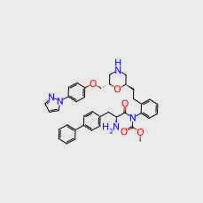 COC(=O)N(C(=O)[C@@H](N)Cc1ccc(-c2ccccc2)cc1)c1ccccc1CC[C@@H]1CNC[C@@H](COc2ccc(-n3cccn3)cc2)O1